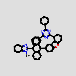 CCn1c(-c2c3ccccc3c(-c3ccc4oc5cccc(-c6nc(-c7ccccc7)nc(-c7ccccc7)n6)c5c4c3)c3ccccc23)nc2ccccc21